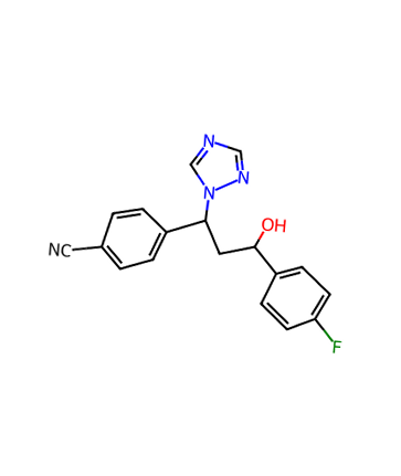 N#Cc1ccc(C(CC(O)c2ccc(F)cc2)n2cncn2)cc1